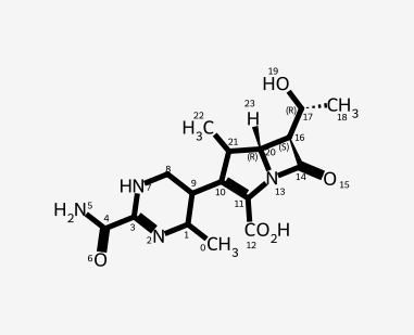 CC1N=C(C(N)=O)NCC1C1=C(C(=O)O)N2C(=O)[C@H]([C@@H](C)O)[C@H]2C1C